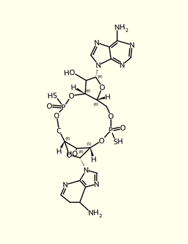 Nc1ncnc2c1ncn2[C@@H]1O[C@@H]2COP(=O)(S)O[C@H]3C(O)[C@@H](COP(=O)(S)O[C@@H]2C1O)O[C@H]3n1cnc2c1N=CCC2N